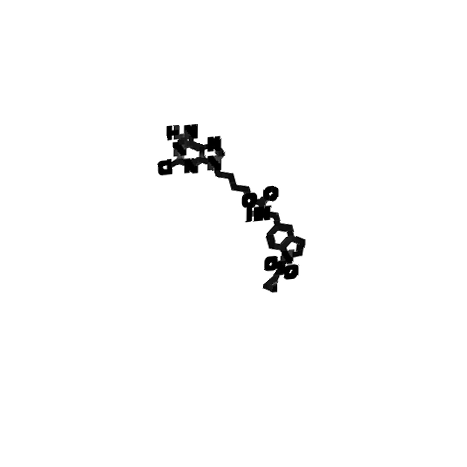 Nc1nc(Cl)nc2c1ncn2CCCCOC(=O)NCc1ccc2c(ccn2S(=O)(=O)C2CC2)c1